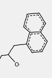 CCC([O])Cc1cccc2ccccc12